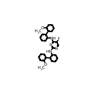 COc1ccccc1-c1ccccc1Nc1ncc(F)c(Nc2ccccc2-c2ccccc2OC)n1